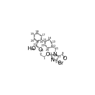 CCOc1nc(Br)c(C=O)n1Cc1ccc(-c2ccccc2C(=O)O)cc1